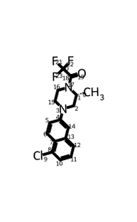 C[C@@H]1CN(c2ccc3c(Cl)cccc3c2)CCN1C(=O)C(F)(F)F